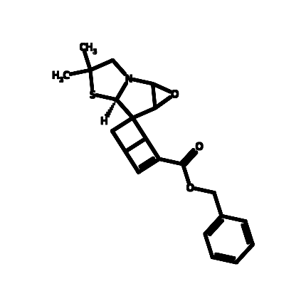 CC1(C)CN2C3OC3C3(CC4C=C(C(=O)OCc5ccccc5)C43)[C@H]2S1